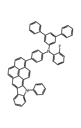 Fc1ccccc1N(c1ccc(-c2ccc3ccc4cc5c6ccccc6n(-c6ccccc6)c5c5ccc2c3c45)cc1)c1cc(-c2ccccc2)cc(-c2ccccc2)c1